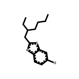 CCCCC(CC)Cc1nc2ccc(Cl)cc2s1